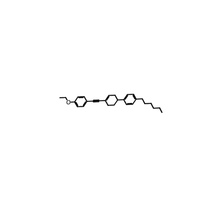 CCCCCCc1ccc(C2CC=C(C#Cc3ccc(OCC)cc3)CC2)cc1